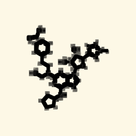 Cn1nnc([C@H]2O[C@@H](n3cnc4c(NC5CCCC5)nc(N(CO)CCc5ccccc5)nc43)[C@H](O)[C@@H]2O)n1.O=CO